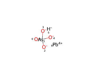 O=[As]([O-])([O-])[O-].[H-].[Pb+4]